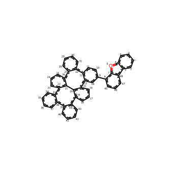 c1ccc2c(c1)oc1c(-c3ccc4c(c3)c3cccc5c3-c3c(cccc3c3ccccc34)c3ccccc3c3ccccc53)cccc12